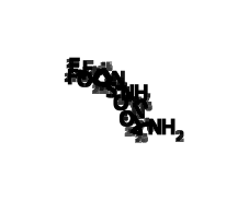 NCC1(C(=O)N2CC[C@H]2C(=O)Nc2nc3ccc(OC(F)(F)F)cc3s2)CC1